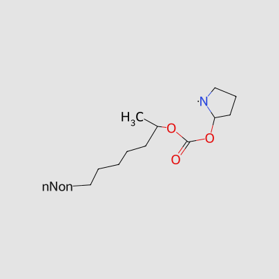 CCCCCCCCCCCCCCC(C)OC(=O)OC1CCC[N]1